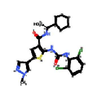 Cn1cc(-c2cc(C(=O)N[C@H](C(=O)O)C3CCCCC3)c(NC(=O)Nc3c(Cl)cccc3Cl)s2)cn1